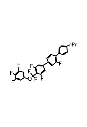 CCCc1ccc(-c2ccc(-c3cc(F)c(C(F)(F)Oc4cc(F)c(F)c(F)c4)c(F)c3)cc2F)cc1